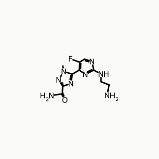 Cn1nc(C(N)=O)nc1-c1nc(NCCN)ncc1F